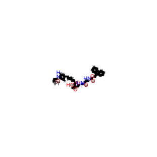 CC(/C=C/[C@H]1O[C@H](CNC(=O)CCNC(=O)OCC2c3ccccc3-c3ccccc32)C[C@@]2(CO2)[C@@H]1O)=C\C[C@@H]1C[C@H](C)[C@H](NC(=O)/C=C\C(C)C)C[C@@H]1C